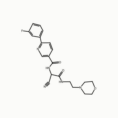 N#CC(NC(=O)c1ccc(-c2cccc(F)c2)nc1)C(=O)NCCN1CCOCC1